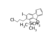 C[Si](C)(C)c1c(CCCCl)c(I)cc2c1C(=O)c1ccccc1-2